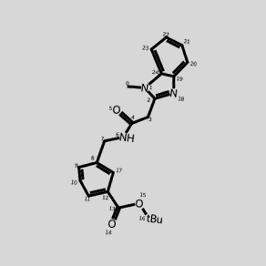 Cn1c(CC(=O)NCc2cccc(C(=O)OC(C)(C)C)c2)nc2ccccc21